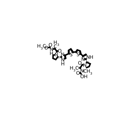 COC(=O)N[C@@H](C)C(=O)N1CCC[C@H]1c1nc(-c2ccc(-c3ccc(-c4c[nH]c([C@@H]5CCCN5C(=O)[C@H](C)N(C)C(=O)O)n4)s3)s2)c[nH]1